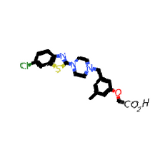 Cc1cc(CN2CCN(c3nc4ccc(Cl)cc4s3)CC2)cc(OCC(=O)O)c1